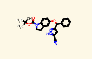 CC(C)(C)OC(=O)N1CCc2cc(OC(c3ccccc3)c3cc(C#N)[nH]n3)ccc21